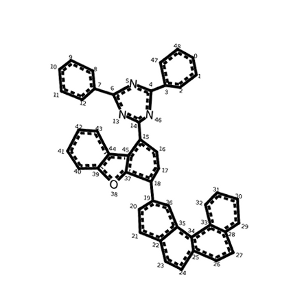 c1ccc(-c2nc(-c3ccccc3)nc(-c3ccc(-c4ccc5ccc6ccc7ccccc7c6c5c4)c4oc5ccccc5c34)n2)cc1